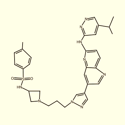 Cc1ccc(S(=O)(=O)NC2CN(CCCn3cc(-c4cnc5ccc(Nc6cc(C(C)C)cnn6)nc5c4)cn3)C2)cc1